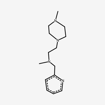 CN1CCN(CCN(C)Cc2ccccn2)CC1